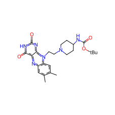 Cc1cc2nc3c(=O)[nH]c(=O)nc-3n(CCN3CCC(NC(=O)OC(C)(C)C)CC3)c2cc1C